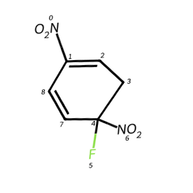 O=[N+]([O-])C1=CCC(F)([N+](=O)[O-])C=C1